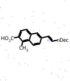 CCCCCCCCCC/C=C/c1ccc2c(C)c(C(=O)O)ccc2c1